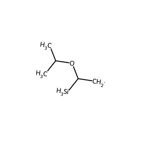 [CH2]C([SiH3])OC(C)C